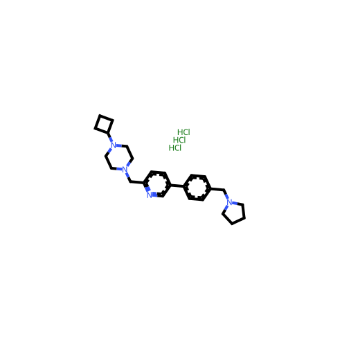 Cl.Cl.Cl.c1cc(-c2ccc(CN3CCN(C4CCC4)CC3)nc2)ccc1CN1CCCC1